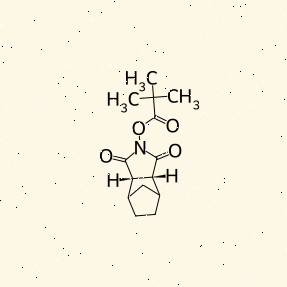 CC(C)(C)C(=O)ON1C(=O)[C@@H]2C3CCC(C3)[C@@H]2C1=O